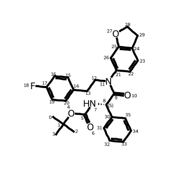 CC(C)(C)OC(=O)N[C@H](C(=O)N(CCc1ccc(F)cc1)c1ccc2c(c1)OCC2)c1ccccc1